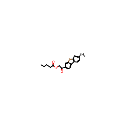 Bc1ccc2c(c1)sc1cc(C(=O)COC(=O)CCCC)ccc12